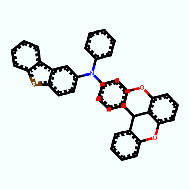 c1ccc(N(c2ccc(C34c5ccccc5Oc5cccc(c53)Oc3ccccc34)cc2)c2ccc3sc4ccccc4c3c2)cc1